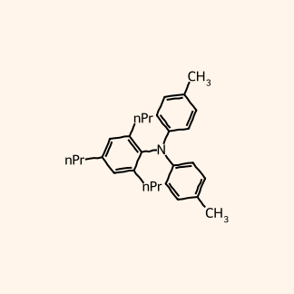 CCCc1cc(CCC)c(N(c2ccc(C)cc2)c2ccc(C)cc2)c(CCC)c1